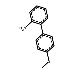 CSc1ccc(-c2ccccc2N)cc1